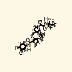 Cn1cc2c(c1C(=O)Nc1ccc(F)c(Cl)c1)OC[C@]1(CCN(C(=O)C(=O)NC(C)(C)C(F)(F)F)C1)NS2(=O)=O